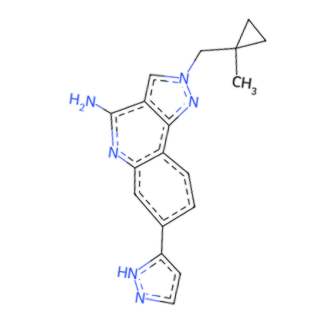 CC1(Cn2cc3c(N)nc4cc(-c5ccn[nH]5)ccc4c3n2)CC1